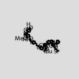 COc1c(NC(=O)CN2CCC(CCCOc3cccc(-c4ccc(N5CCc6ccnc(C(=O)N(COCC[Si](C)(C)C)c7nc8ccccc8s7)c6C5)nc4C(=O)OC(C)(C)C)c3C(F)(F)F)CC2)ccc2c(C3CCC(=O)NC3=O)nn(C)c12